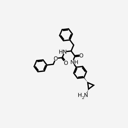 N[C@H]1C[C@H]1c1ccc(NC(=O)C(Cc2ccccc2)NC(=O)OCc2ccccc2)cc1